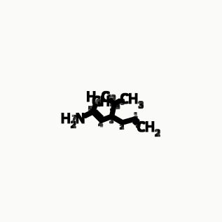 C=CCC(/C=C(\C)N)C(C)C